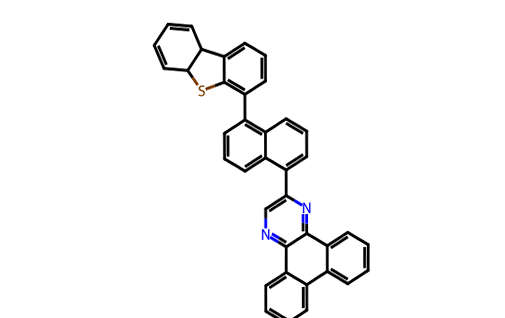 C1=CC2Sc3c(-c4cccc5c(-c6cnc7c8ccccc8c8ccccc8c7n6)cccc45)cccc3C2C=C1